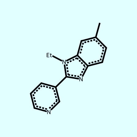 CCn1c(-c2cccnc2)nc2ccc(C)cc21